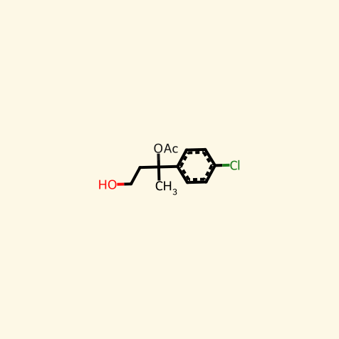 CC(=O)OC(C)(CCO)c1ccc(Cl)cc1